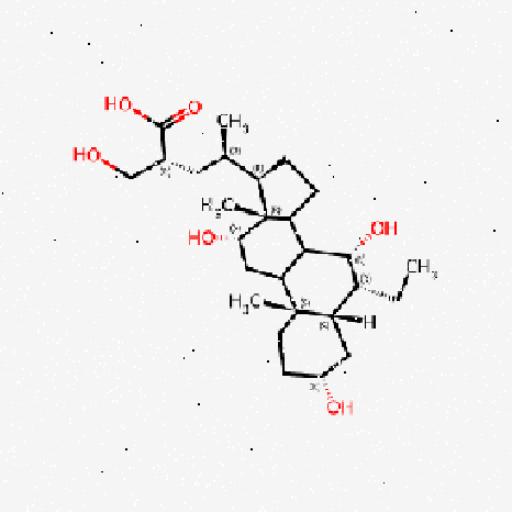 CC[C@H]1[C@@H](O)C2C3CC[C@H]([C@H](C)C[C@H](CO)C(=O)O)[C@@]3(C)[C@@H](O)CC2[C@@]2(C)CC[C@@H](O)C[C@@H]12